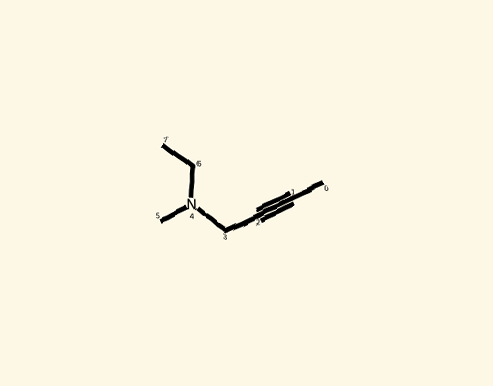 CC#CCN(C)CC